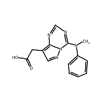 CN(c1ccccc1)c1ncnc2c(CC(=O)O)cnn12